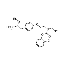 CCOC(Cc1ccc(OCCN(CC(C)C)C(=O)Oc2ccccc2Cl)cc1)C(=O)O